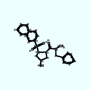 CN(Cc1ccccc1)C(=O)[C@H]1C[C@@H](S)CN1S(=O)(=O)c1ccc2ccccc2c1